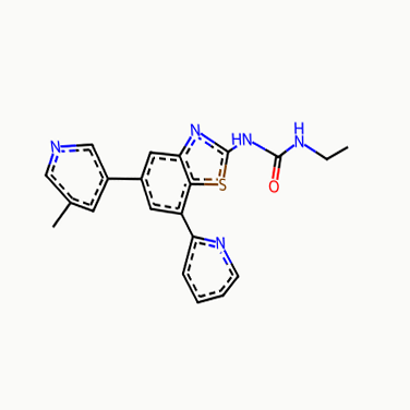 CCNC(=O)Nc1nc2cc(-c3cncc(C)c3)cc(-c3ccccn3)c2s1